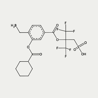 BCc1ccc(C(=O)OC(CS(=O)(=O)O)(C(F)(F)F)C(F)(F)F)cc1OC(=O)C1CCCCC1